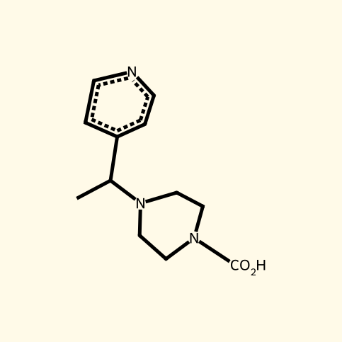 CC(c1ccncc1)N1CCN(C(=O)O)CC1